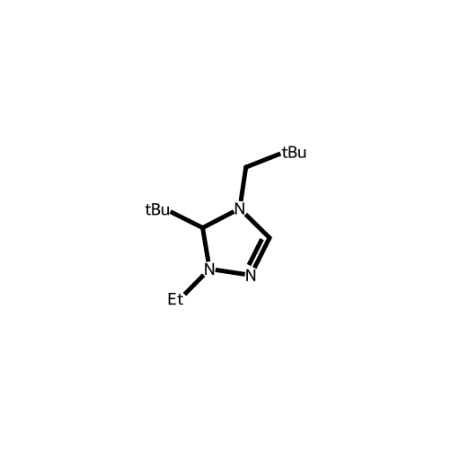 CCN1N=CN(CC(C)(C)C)C1C(C)(C)C